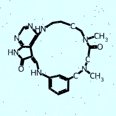 CN1CC(=O)N(C)CCCCNc2ncnc3c2/C(=C/Nc2cccc(c2)C1)C(=O)N3